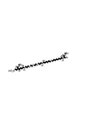 CC(C)C(NC(=O)CCCCCCCSCCCCCC(=O)NCCCOCCOCCOCCCNC(=O)CCC(=O)C(CCC(=O)O)C(=O)OC(C)(C)C)C(=O)OC(C)(C)C